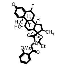 CCC(=O)O[C@]1(C(=O)SCC(=O)c2ccccc2OC)[C@H](C)C[C@H]2[C@@H]3C[C@H](F)C4=CC(=O)C=C[C@]4(C)[C@@]3(F)[C@@H](O)C[C@@]21C